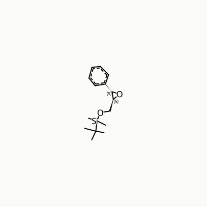 CC(C)(C)[Si](C)(C)OC[C@@H]1O[C@H]1c1ccccc1